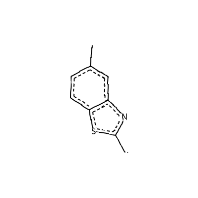 [CH2]c1nc2cc(C)ccc2s1